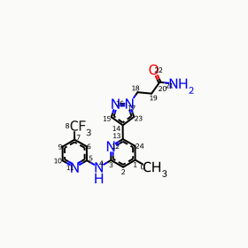 Cc1cc(Nc2cc(C(F)(F)F)ccn2)nc(-c2cnn(CCC(N)=O)c2)c1